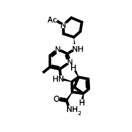 CC(=O)N1CCC[C@H](Nc2ncc(C)c(N[C@@H]3[C@H](C(N)=O)[C@H]4C=C[C@@H]3C4)n2)C1